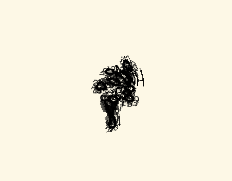 c1ccc(C2=NC(c3ccc4c(oc5c(-c6ccc7sc8ccccc8c7c6)cccc54)c3-c3cccc(-c4ccccc4)c3)NC(c3ccccc3)=N2)cc1